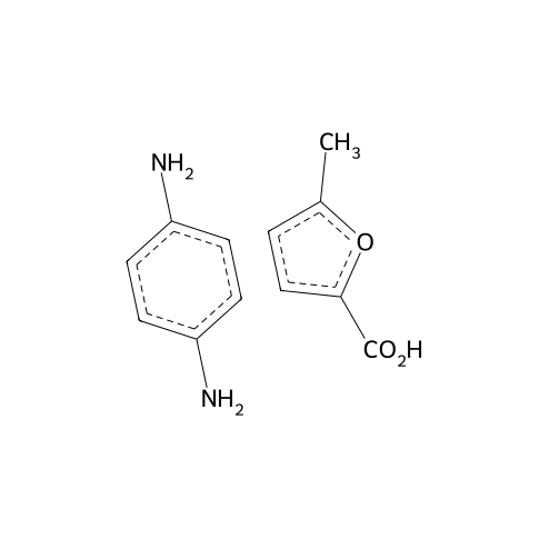 Cc1ccc(C(=O)O)o1.Nc1ccc(N)cc1